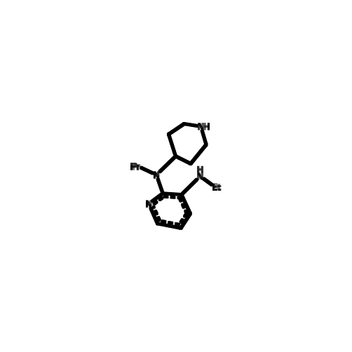 CCNc1cccnc1N(C(C)C)C1CCNCC1